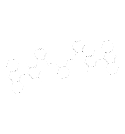 Cc1cc(-c2ccccc2OCC2CCCCC2COc2ccccc2-c2cc(C)cc(-c3c4c(cc5c3CCCC5)CCCC4)c2C)c(C)c(-c2c3c(cc4c2CCCC4)CCCC3)c1